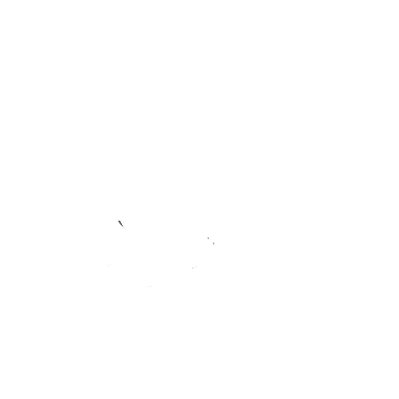 C=C1C2=CC([C@H](C)C(=C)C)=C(CC)C(=C)N2C/C1=C(\CC)c1c(C)cccc1C